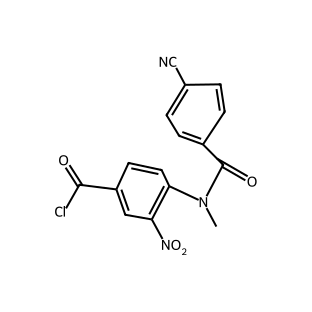 CN(C(=O)c1ccc(C#N)cc1)c1ccc(C(=O)Cl)cc1[N+](=O)[O-]